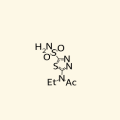 CCN(C(C)=O)c1nnc(S(N)(=O)=O)s1